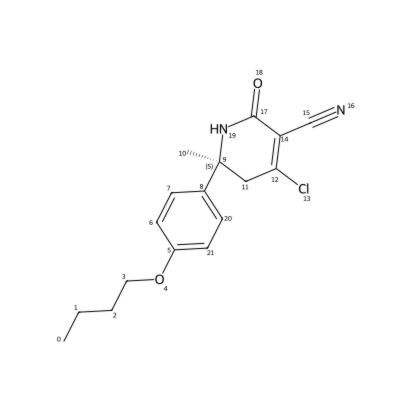 CCCCOc1ccc([C@]2(C)CC(Cl)=C(C#N)C(=O)N2)cc1